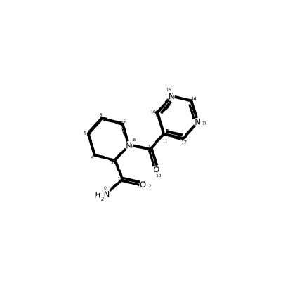 NC(=O)C1CCCCN1C(=O)c1cncnc1